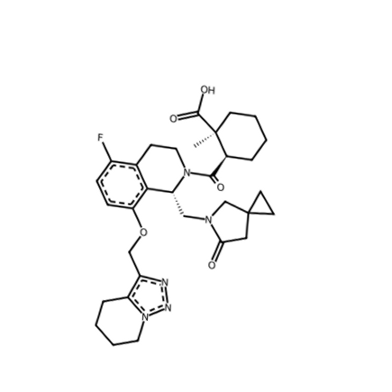 C[C@]1(C(=O)O)CCCC[C@H]1C(=O)N1CCc2c(F)ccc(OCc3nnn4c3CCCC4)c2[C@H]1CN1CC2(CC2)CC1=O